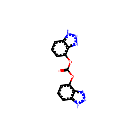 O=C(Oc1cccc2[nH]nnc12)Oc1cccc2[nH]nnc12